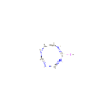 Ic1ncc[nH]cncn1